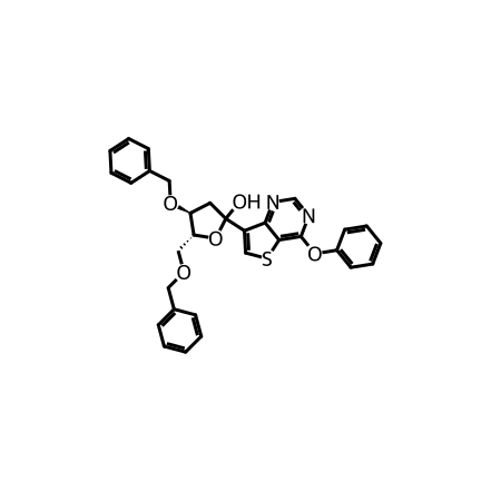 OC1(c2csc3c(Oc4ccccc4)ncnc23)C[C@H](OCc2ccccc2)[C@@H](COCc2ccccc2)O1